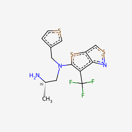 C[C@H](N)CN(Cc1ccsc1)c1sc2csnc2c1C(F)(F)F